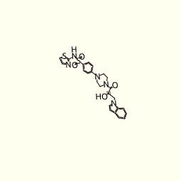 O=C([C@H](O)Cn1ccc2ccccc21)N1CCN(c2ccc(S(=O)(=O)Nc3nccs3)cc2)CC1